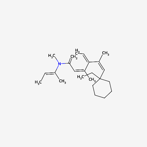 C=C(\C=C(C)/C(=C\C)C(/C)=C\C1(CC)CCCCC1)N(C)/C(C)=C/C